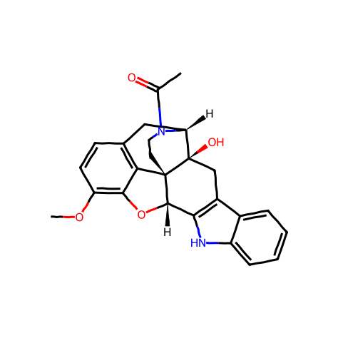 COc1ccc2c3c1O[C@H]1c4[nH]c5ccccc5c4C[C@@]4(O)[C@@H](C2)N(C(C)=O)CC[C@]314